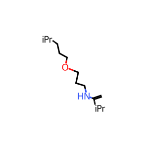 C=C(NCCCOCCCC(C)C)C(C)C